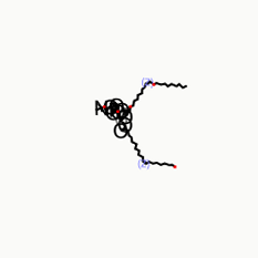 CCCCCCCC/C=C\CCCCCCCCCC(=O)OC[C@H](COP(=O)([O-])OCC[N+](C)(C)C)OC(=O)CCCCCCCCC/C=C\CCCCCCCCCC